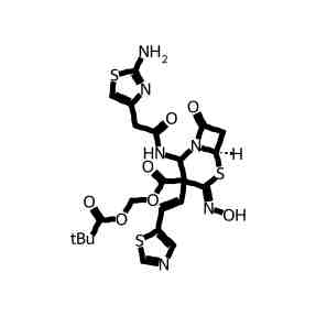 CC(C)(C)C(=O)OCOC(=O)C1(C=Cc2cncs2)C(=NO)S[C@@H]2CC(=O)N2C1NC(=O)Cc1csc(N)n1